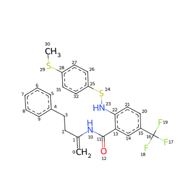 C=C(CCc1ccccc1)NC(=O)c1cc(C(F)(F)F)ccc1NSc1ccc(SC)cc1